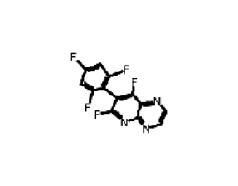 Fc1cc(F)c(-c2c(F)nc3nccnc3c2F)c(F)c1